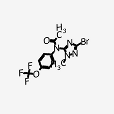 CC(=O)N(c1ccc(OC(F)(F)F)cc1)c1nc(Br)nn1C